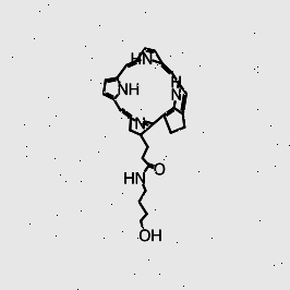 O=C(CCC1CC2=Cc3ccc([nH]3)C=c3ccc([nH]3)=CC3C=C4CCC(=C4N3)C1=N2)NCCCCO